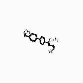 C=Cc1ccc(-c2ccc(/C(C)=C/C=C\CC)cc2)cc1